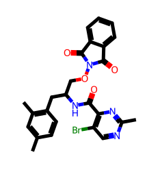 Cc1ccc(CC(CON2C(=O)c3ccccc3C2=O)NC(=O)c2nc(C)ncc2Br)c(C)c1